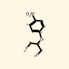 O=[N+]([O-])c1ccc(OC(CF)CF)cc1